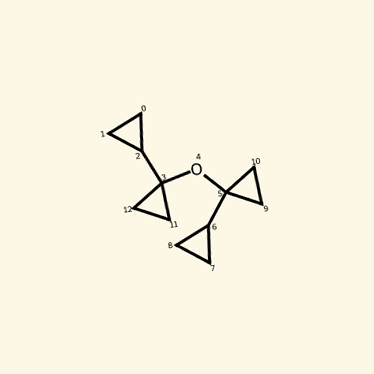 C1CC1C1(OC2(C3CC3)CC2)CC1